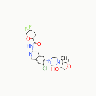 CC1(N2CCN(c3cc4cc(NC(=O)C5CCC(F)(F)CO5)ncc4cc3Cl)CC2)COCC1O